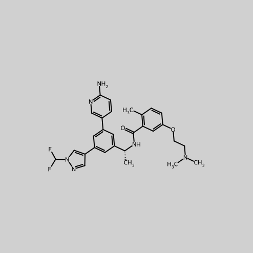 Cc1ccc(OCCN(C)C)cc1C(=O)N[C@H](C)c1cc(-c2ccc(N)nc2)cc(-c2cnn(C(F)F)c2)c1